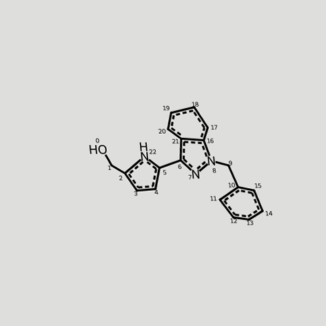 OCc1ccc(-c2nn(Cc3ccccc3)c3ccccc23)[nH]1